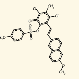 COc1ccc2cc(C=Cc3c(Cl)c(C)c(Cl)c(=O)n3OS(=O)(=O)c3ccc(C)cc3)ccc2c1